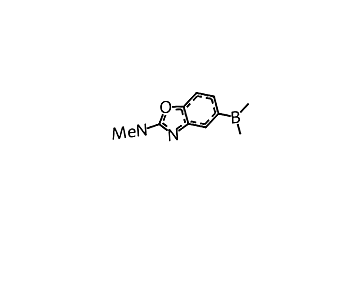 CNc1nc2cc(B(C)C)ccc2o1